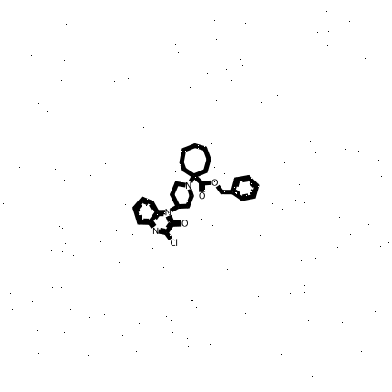 O=C(OCc1ccccc1)C1(N2CCC(n3c(=O)c(Cl)nc4ccccc43)CC2)CCCCCCC1